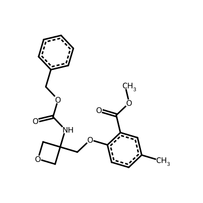 COC(=O)c1cc(C)ccc1OCC1(NC(=O)OCc2ccccc2)COC1